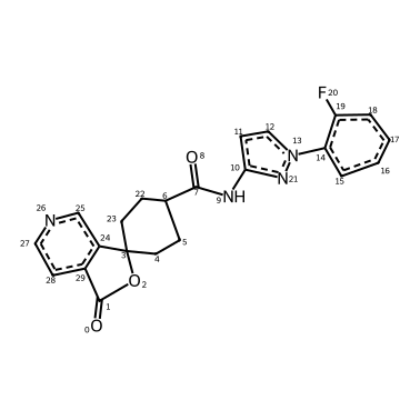 O=C1OC2(CCC(C(=O)Nc3ccn(-c4ccccc4F)n3)CC2)c2cnccc21